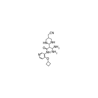 N#CCC1CNC(C(C(=O)Nc2cnccc2OC2CCC2)C(N)N)NC1